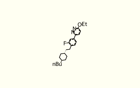 CCCC[C@H]1CC[C@H](CCc2ccc(-c3ccc(OCC)nn3)cc2F)CC1